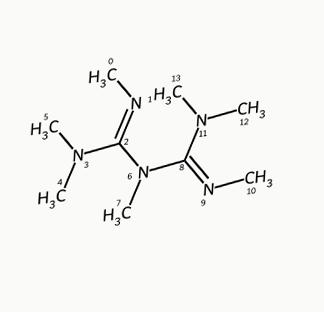 C/N=C(\N(C)C)N(C)/C(=N/C)N(C)C